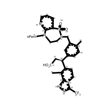 CCCCCN1CCN(Cc2cc([C@H](CC(=O)O)c3ccn4c(C(F)(F)F)nnc4c3C)ccc2C)S(=O)(=O)c2cccnc21